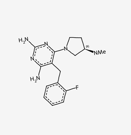 CN[C@@H]1CCN(c2nc(N)nc(N)c2Cc2ccccc2F)C1